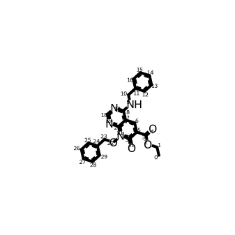 CCOC(=O)c1cc2c(NCc3ccccc3)ncnc2n(OCc2ccccc2)c1=O